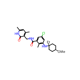 CC[C@]1(Nc2cc(Cl)cc(C(=O)NCc3c(C)cc(C)[nH]c3=O)c2C)CC[C@H](OC)CC1